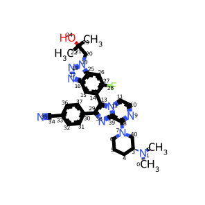 CN(C)[C@@H]1CCCN(c2nccn3c(-c4cc5nnn(CC(C)(C)O)c5cc4F)c(-c4ccc(C#N)cc4)nc23)C1